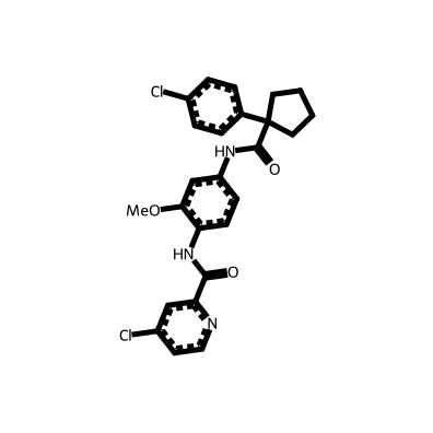 COc1cc(NC(=O)C2(c3ccc(Cl)cc3)CCCC2)ccc1NC(=O)c1cc(Cl)ccn1